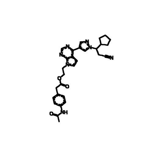 CC(=O)Nc1ccc(CC(=O)OCCn2ccc3c(-c4cnn(C(CC#N)C5CCCC5)c4)ncnc32)cc1